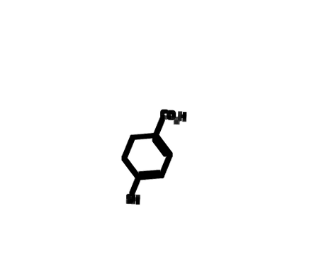 O=C(O)C1=CC=C(S)CC1